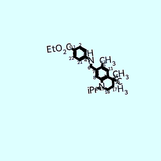 CCOC(=O)c1ccc(NCc2cc3c(cc2C)C(C)(C)CCN3C(C)C)cc1